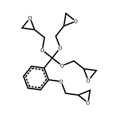 c1ccc(C(OCC2CO2)(OCC2CO2)OCC2CO2)c(OCC2CO2)c1